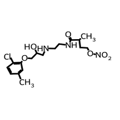 Cc1ccc(Cl)c(OCC(O)CNCCNC(=O)C(C)CCO[N+](=O)[O-])c1